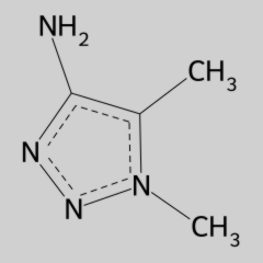 Cc1c(N)nnn1C